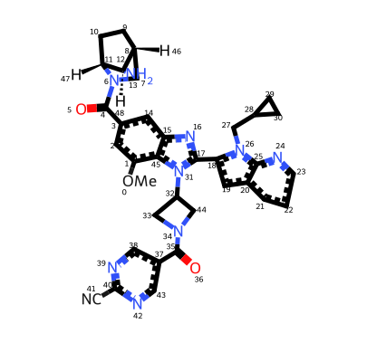 COc1cc(C(=O)N2C[C@H]3CC[C@@H]2[C@@H]3N)cc2nc(-c3cc4cccnc4n3CC3CC3)n(C3CN(C(=O)c4cnc(C#N)nc4)C3)c12